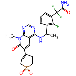 CC(Nc1ncnc2c1cc(C1=CCS(=O)(=O)CC1)c(=O)n2C)c1cccc(C(F)(F)C(N)=O)c1F